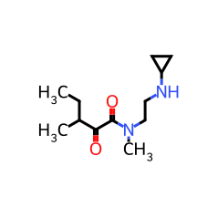 CCC(C)C(=O)C(=O)N(C)CCNC1CC1